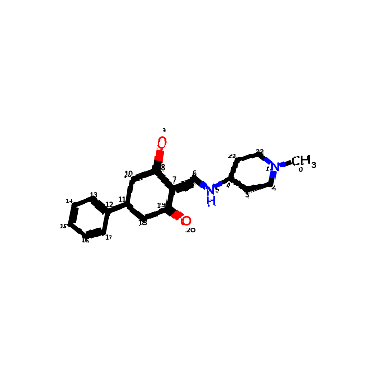 CN1CCC(NC=C2C(=O)CC(c3ccccc3)CC2=O)CC1